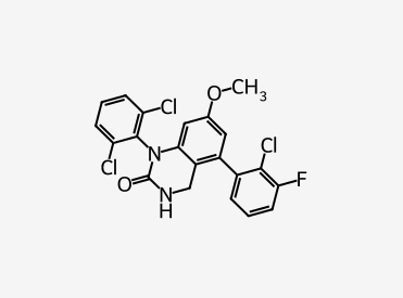 COc1cc(-c2cccc(F)c2Cl)c2c(c1)N(c1c(Cl)cccc1Cl)C(=O)NC2